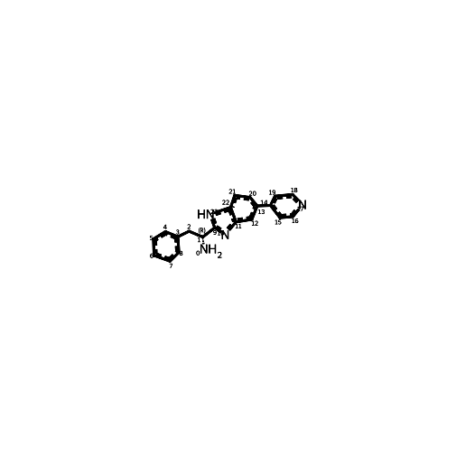 N[C@H](Cc1ccccc1)c1nc2cc(-c3ccncc3)ccc2[nH]1